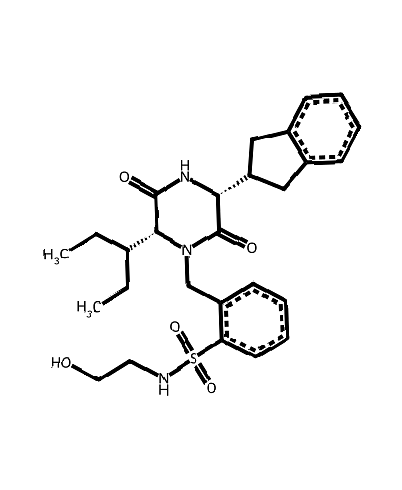 CCC(CC)[C@@H]1C(=O)N[C@H](C2Cc3ccccc3C2)C(=O)N1Cc1ccccc1S(=O)(=O)NCCO